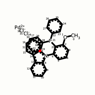 COc1cccc(-n2c3ccccc3c3ccccc32)c1P(c1ccccc1)c1ccccc1.[Cl-].[Cl-].[Pd+2]